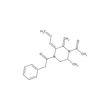 C=C/C=C1\C(=C)N(C(C)=O)C(C)CN1C(=O)Cc1ccccc1